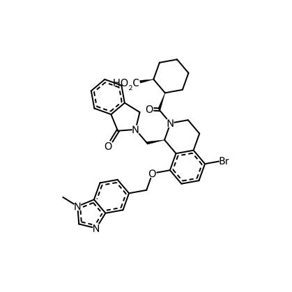 Cn1cnc2cc(COc3ccc(Br)c4c3[C@@H](CN3Cc5ccccc5C3=O)N(C(=O)[C@@H]3CCCC[C@@H]3C(=O)O)CC4)ccc21